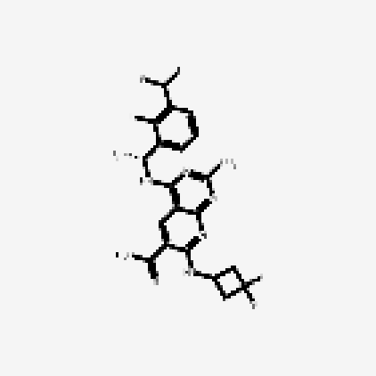 CC(=O)c1cc2c(N[C@H](C)c3cccc(C(F)F)c3F)nc(C)nc2nc1NC1CC(F)(F)C1